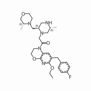 CCOc1nc2c(cc1Cc1ccc(F)cc1)N(C(=O)CN1C[C@@H](C)NC[C@@H]1CN1CCOC[C@H]1C)CCO2